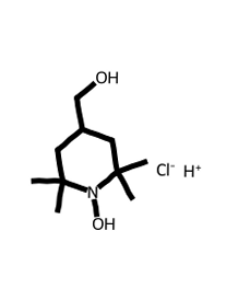 CC1(C)CC(CO)CC(C)(C)N1O.[Cl-].[H+]